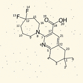 CC1(C)CCc2nc(N3CCCC(F)(F)CC3)c(C(=O)O)cc2C1